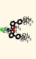 CCC1=Cc2c(-c3ccc([Si](C)(C)C)cc3)cccc2[CH]1[Zr](=[SiH2])([CH2]C)([CH2]C)[CH]1C(C)=Cc2c(-c3ccc([Si](C)(C)C)cc3)cccc21.Cl.Cl